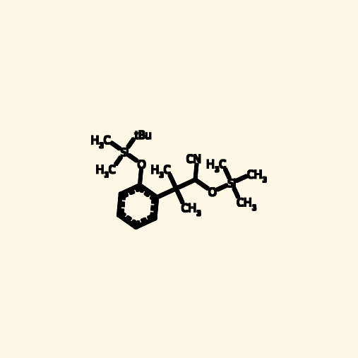 CC(C)(c1ccccc1O[Si](C)(C)C(C)(C)C)C(C#N)O[Si](C)(C)C